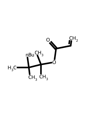 C=CC(=O)OC(C)(C)C(C)(C)CCCC